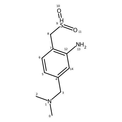 CN(C)Cc1ccc(C[SH](=O)=O)c(N)c1